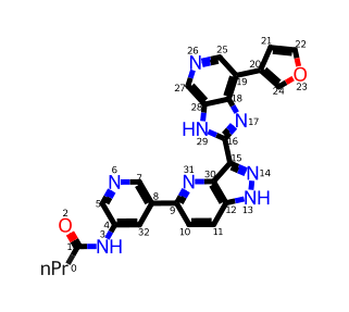 CCCC(=O)Nc1cncc(-c2ccc3[nH]nc(-c4nc5c(-c6ccoc6)cncc5[nH]4)c3n2)c1